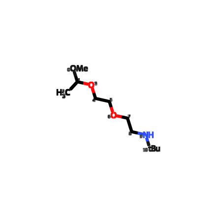 COC(C)OCCOCCNC(C)(C)C